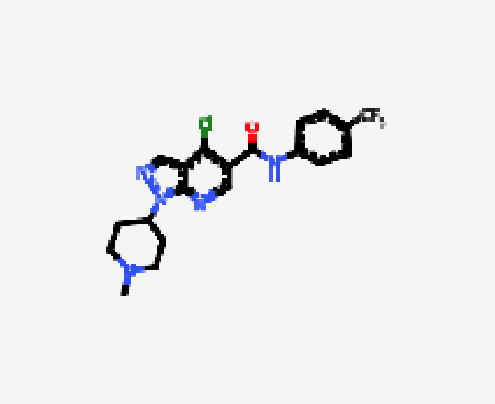 CN1CCC(n2ncc3c(Cl)c(C(=O)Nc4ccc(C(F)(F)F)cc4)cnc32)CC1